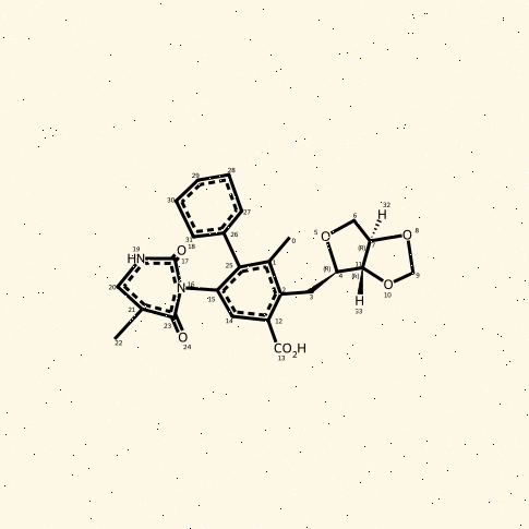 Cc1c(C[C@H]2OC[C@H]3OCO[C@@H]32)c(C(=O)O)cc(-n2c(=O)[nH]cc(C)c2=O)c1-c1ccccc1